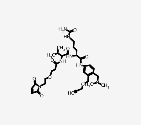 C#CCOCc1cc(NC(=O)[C@H](CCCNC(N)=O)NC(=O)C(NC(=O)CCOCCN2C(=O)C=CC2=O)C(C)C)ccc1CN(C)C